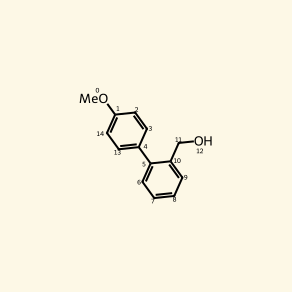 COc1ccc(-c2ccccc2CO)cc1